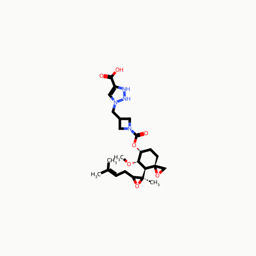 CO[C@@H]1[C@H](OC(=O)N2CC(CN3C=C(C(=O)O)NN3)C2)CC[C@]2(CO2)[C@H]1[C@@]1(C)OC1CC=C(C)C